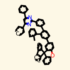 Cc1ccccc1-c1cc(-c2ccc3c(c2)C2(c4ccccc4O3)c3ccccc3-c3ccccc32)ccc1-c1cccc(-c2nc(-c3ccccc3)cc(-c3ccccc3)n2)c1